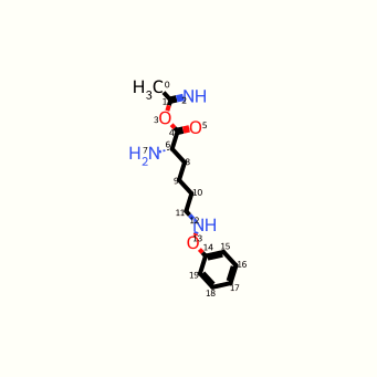 CC(=N)OC(=O)[C@@H](N)CCCCNOc1ccccc1